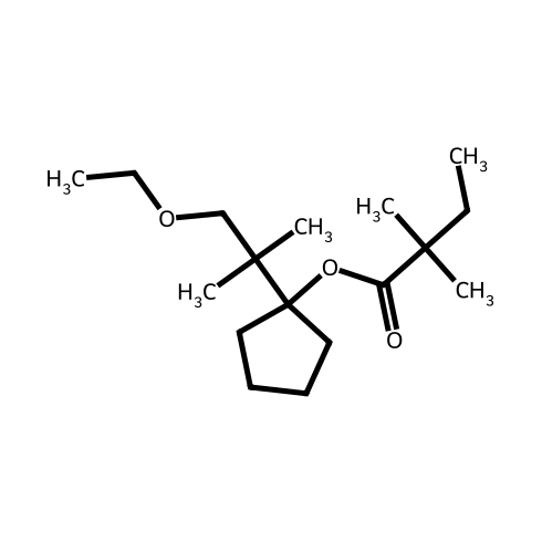 CCOCC(C)(C)C1(OC(=O)C(C)(C)CC)CCCC1